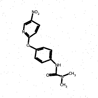 CN(C)C(=O)Nc1ccc(Oc2ccc([N+](=O)[O-])cn2)cc1